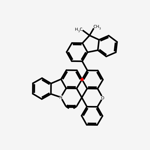 CC1(C)c2ccccc2-c2c(-c3ccc4c(c3)C3(c5ccccc5O4)c4ccccc4-n4c5ccccc5c5cccc3c54)cccc21